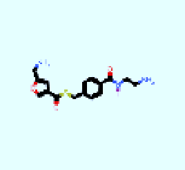 NCCN(I)C(=O)c1ccc(CSC(=O)c2coc(CN)c2)cc1